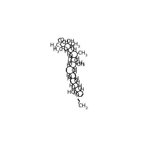 C=C/C=C/[C@H]1C=CC[C@@H]2O[C@@H]3C[C@@H]4O[C@@H]5C=C[C@@H]6O[C@@H]7C[C@@H](O)[C@]8(C)O[C@@H]9C[C@H](C)C[C@@H]%10O[C@@H]%11[C@@H](C)[C@H](O)[C@@H]%12O[C@]%13(CCCO%13)[C@@H](C)[C@H](C)[C@H]%12O[C@H]%11C[C@H]%10O[C@H]9C[C@H]8O[C@H]7C/C=C\C[C@H]6O[C@H]5C=C[C@H]4O[C@H]3[C@H](O)[C@H]2O1